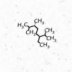 CCC(CC[C@@H](C)C(C)C)C(C)C